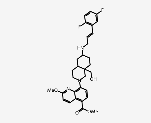 COC(=O)c1ccc(N2CCC3CC(NCC=Cc4cc(F)ccc4F)CCC3(CO)C2)c2nc(OC)ccc12